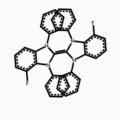 Fc1cccc2c1N(c1ccccc1)/C(=C1\N(c3ccccc3)c3cccc(F)c3N1c1ccccc1)N2c1ccccc1